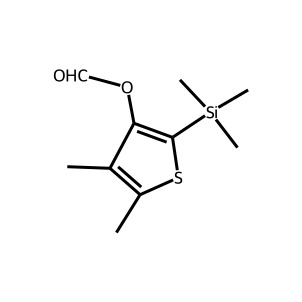 Cc1sc([Si](C)(C)C)c(OC=O)c1C